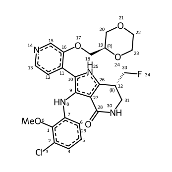 COc1c(Cl)cccc1Nc1c(-c2ccncc2OC[C@H]2COCCO2)[nH]c2c1C(=O)NC[C@H]2CF